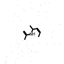 C=C(C)NC(C)/C=C\C